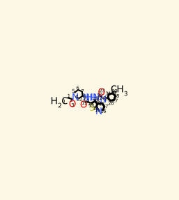 C=CC(=O)N1CCCC(NC(=O)c2sc3nccc4c3c2NC(=O)N4c2cccc(C)c2)C1